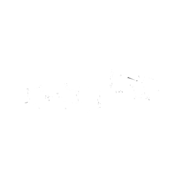 O=C(N[C@H]1CN2CCC1CC2)c1cc2oc(-n3cccc3)cc2cn1